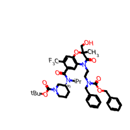 CC(C)N(C(=O)c1cc2c(cc1C(F)(F)F)OC(C)(CO)C(=O)N2CCN(Cc1ccccc1)C(=O)OCc1ccccc1)[C@@H]1CCCN(C(=O)OC(C)(C)C)C1